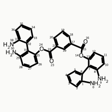 Nc1ccccc1-c1c(N)cccc1OC(=O)c1cccc(C(=O)Oc2cccc(N)c2-c2ccccc2N)c1